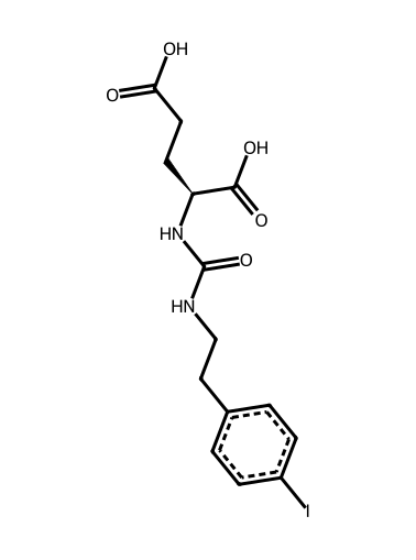 O=C(O)CC[C@H](NC(=O)NCCc1ccc(I)cc1)C(=O)O